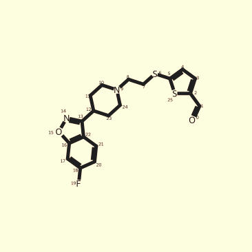 O=Cc1ccc(SCCN2CCC(c3noc4cc(F)ccc34)CC2)s1